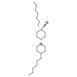 CCCCCCC[C@]1(C#N)CC[C@H](N2CCC(CCCCCC)CC2)CC1